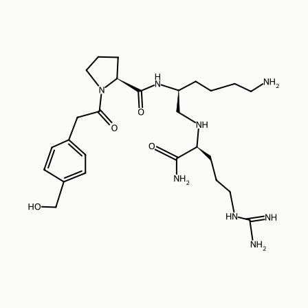 N=C(N)NCCC[C@H](NC[C@H](CCCCN)NC(=O)[C@@H]1CCCN1C(=O)Cc1ccc(CO)cc1)C(N)=O